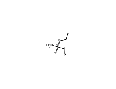 CC[CH]C(C)(N)CC